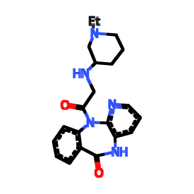 CCN1CCCC(NCC(=O)N2c3ccccc3C(=O)Nc3cccnc32)C1